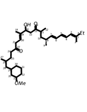 CC/C(C)=C/C=C/C=C/[C@@H](C)CC(C)C(=O)CC(O)/C(C)=C/CC(=O)CCC(C)CC1CCCC(OC)C1